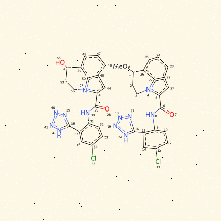 COC1CCn2c(C(=O)Nc3ccc(Cl)cc3-c3nnn[nH]3)cc3cccc1c32.O=C(Nc1ccc(Cl)cc1-c1nnn[nH]1)c1cc2cccc3c2n1CCC3O